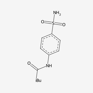 CCC(C)C(=O)Nc1ccc(S(N)(=O)=O)cc1